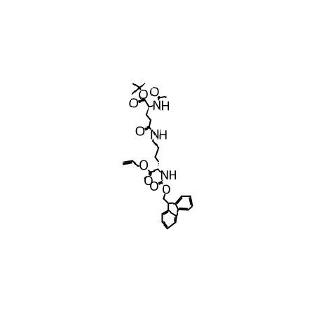 C=CCOC(=O)[C@H](CCCCNC(=O)CC[C@H](NC(C)=O)C(=O)OC(C)(C)C)NC(=O)OCC1c2ccccc2-c2ccccc21